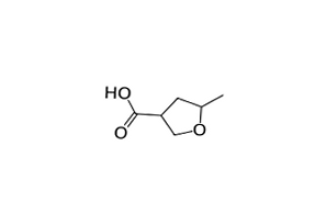 CC1CC(C(=O)O)CO1